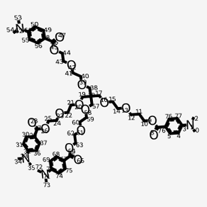 CN(C)c1ccc(C(=O)OCCCOCCOCC(COCCOCCOC(=O)c2ccc(N(C)C)cc2)(COCCOCCOC(=O)c2ccc(N(C)C)cc2)COCCOCCOC(=O)c2ccc(N(C)C)cc2)cc1